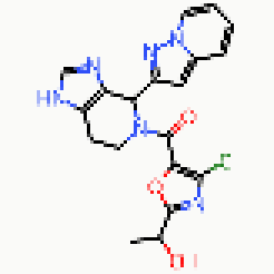 CC(O)c1nc(Cl)c(C(=O)N2CCc3[nH]cnc3C2c2cc3ccccn3n2)o1